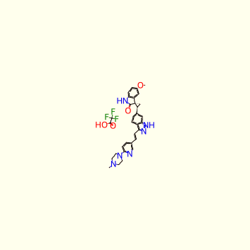 COc1ccc2c(c1)[C@]1(C[C@H]1c1ccc3c(/C=C/c4ccc(N5CCN(C)CC5)nc4)n[nH]c3c1)C(=O)N2.O=C(O)C(F)(F)F